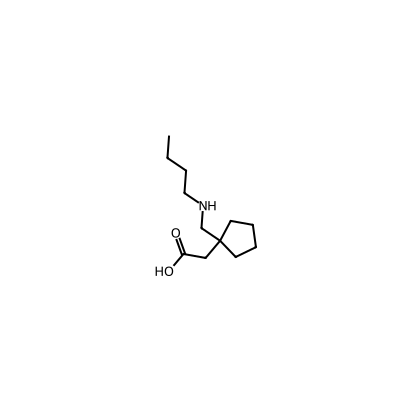 CCCCNCC1(CC(=O)O)CCCC1